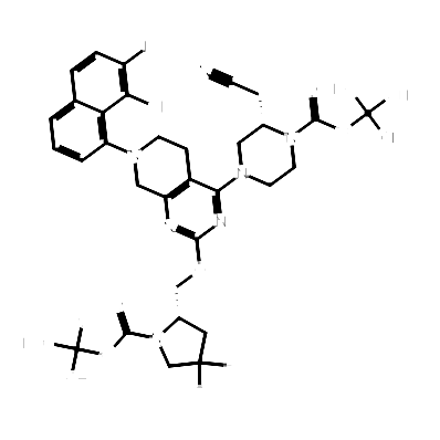 CC(C)(C)OC(=O)N1CCN(c2nc(OC[C@@H]3CC(F)(F)CN3C(=O)OC(C)(C)C)nc3c2CCN(c2cccc4ccc(F)c(Cl)c24)C3)C[C@@H]1CC#N